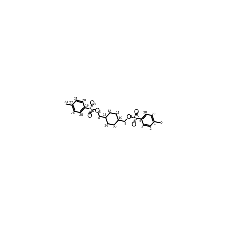 Cc1ccc(S(=O)(=O)OCC2CCC(COS(=O)(=O)c3ccc(C)cc3)CC2)cc1